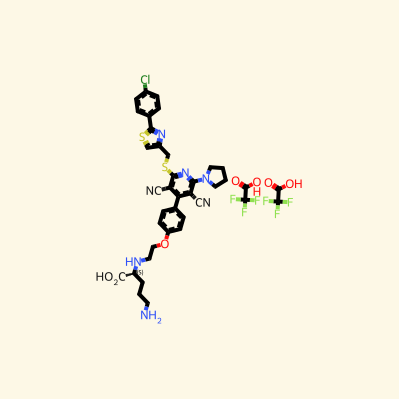 N#Cc1c(SCc2csc(-c3ccc(Cl)cc3)n2)nc(N2CCCC2)c(C#N)c1-c1ccc(OCCN[C@@H](CCCN)C(=O)O)cc1.O=C(O)C(F)(F)F.O=C(O)C(F)(F)F